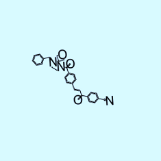 N#Cc1ccc(C(=O)/C=C/c2ccc(C(=O)N3CCN(Cc4ccccc4)C34COC4)cc2)cc1